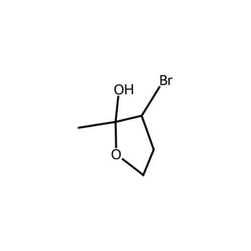 CC1(O)OCCC1Br